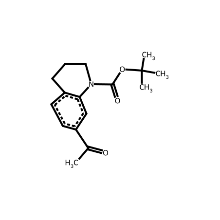 CC(=O)c1ccc2c(c1)N(C(=O)OC(C)(C)C)CCC2